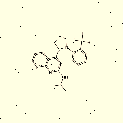 CC(C)Nc1nc(N2CCCN2c2ccccc2C(F)(F)F)c2cccnc2n1